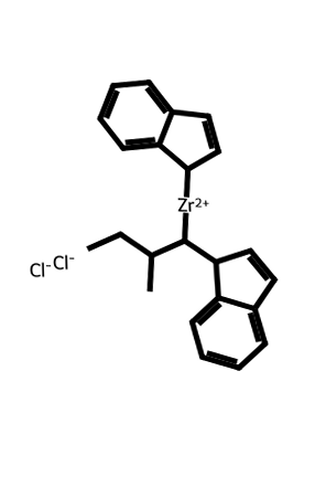 CCC(C)[CH]([Zr+2][CH]1C=Cc2ccccc21)C1C=Cc2ccccc21.[Cl-].[Cl-]